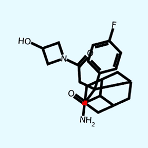 NC(=O)C1C2CC3CC1CC(C2)C3(CC(=O)N1CC(O)C1)c1ccc(F)cc1